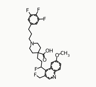 COc1ccc2ncc(CF)c(C(F)CCC3(C(=O)O)CCN(CCCc4cc(F)c(F)c(F)c4)CC3)c2c1